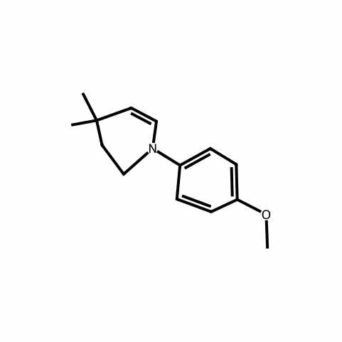 COc1ccc(N2C=CC(C)(C)CC2)cc1